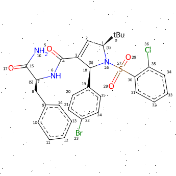 CC(C)(C)[C@@H]1C=C(C(=O)N[C@@H](Cc2ccccc2)C(N)=O)[C@H](c2ccc(Br)cc2)N1S(=O)(=O)c1ccccc1Cl